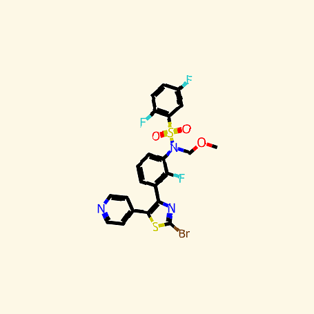 COCN(c1cccc(-c2nc(Br)sc2-c2ccncc2)c1F)S(=O)(=O)c1cc(F)ccc1F